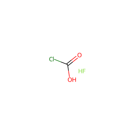 F.O=C(O)Cl